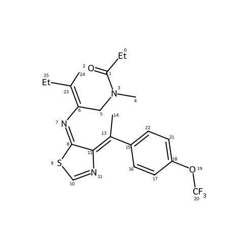 CCC(=O)N(C)CC(/N=C1/SC=N/C1=C(/C)c1ccc(OC(F)(F)F)cc1)=C(\C)CC